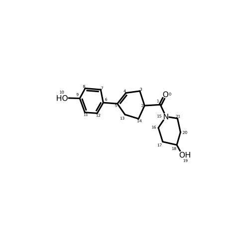 O=C(C1CC=C(c2ccc(O)cc2)CC1)N1CCC(O)CC1